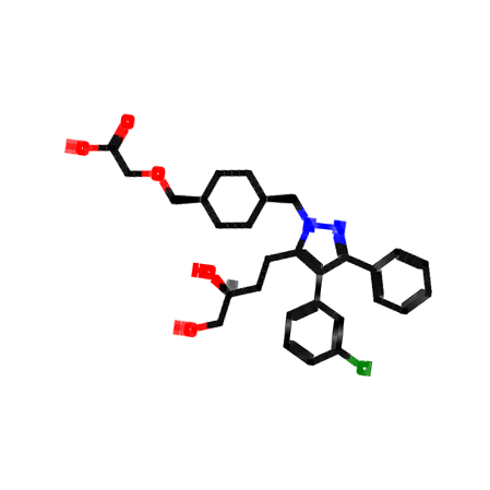 O=C(O)COC[C@H]1CC[C@@H](Cn2nc(-c3ccccc3)c(-c3cccc(Cl)c3)c2CC[C@H](O)CO)CC1